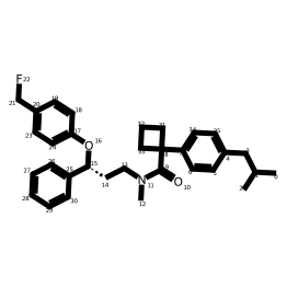 CC(C)Cc1ccc(C2(C(=O)N(C)CC[C@@H](Oc3ccc(CF)cc3)c3ccccc3)CCC2)cc1